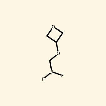 FB(F)COC1COC1